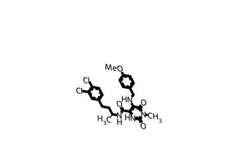 COc1ccc(CNc2c(C(=O)N[C@H](C)CCc3ccc(Cl)c(Cl)c3)[nH]c(=O)n(C)c2=O)cc1